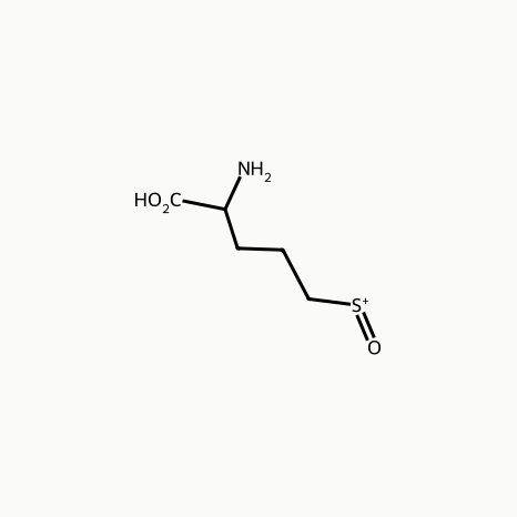 NC(CCC[S+]=O)C(=O)O